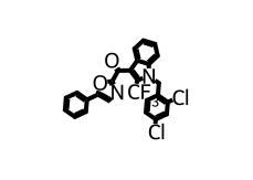 O=C(c1ncc(-c2ccccc2)o1)c1c(C(F)(F)F)n(Cc2ccc(Cl)cc2Cl)c2ccccc12